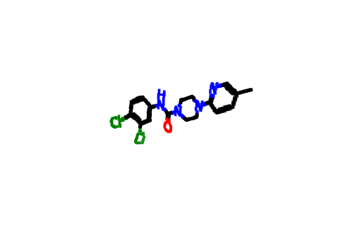 Cc1ccc(N2CCN(C(=O)Nc3ccc(Cl)c(Cl)c3)CC2)nc1